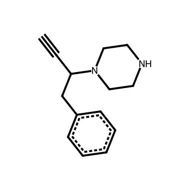 C#CC(Cc1ccccc1)N1CCNCC1